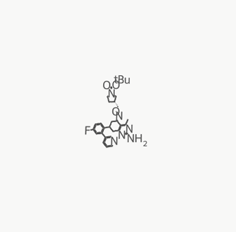 Cc1nc(N)nc2c1C(=NOC[C@@H]1CCN(C(=O)OC(C)(C)C)C1)CC(c1ccc(F)cc1-c1cccnc1)C2